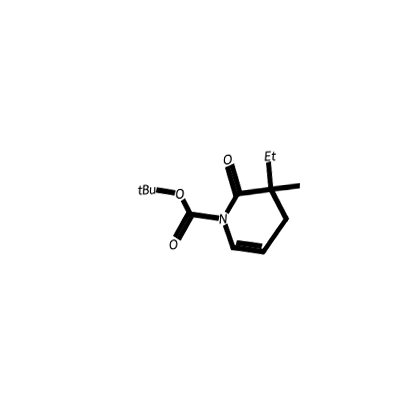 CCC1(C)CC=CN(C(=O)OC(C)(C)C)C1=O